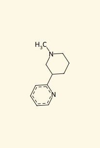 CN1CCCC(c2ccccn2)C1